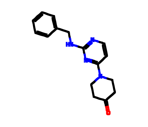 O=C1CCN(c2ccnc(NCc3ccccc3)n2)CC1